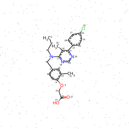 CCCN(Cc1ccc(OCC(=O)O)c(C)c1)c1ncnc(-c2ccc(Cl)cc2)c1C